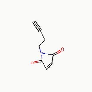 C#CCCN1C(=O)C=CC1=O